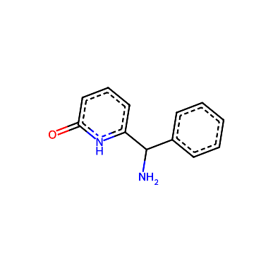 NC(c1ccccc1)c1cccc(=O)[nH]1